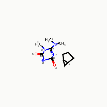 C1CC2CC2C1.CN(C)c1nc(=O)[nH]c(=O)n1C